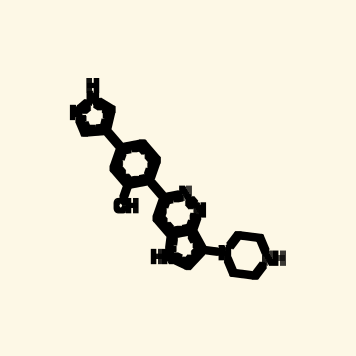 Oc1cc(-c2cn[nH]c2)ccc1-c1cc2[nH]cc(N3CCNCC3)c2nn1